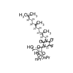 CCCC1(CCC)OC2[C@@H](O1)[C@@H](CO)O[C@H]2n1cc(F)c(=O)n(C/C=C(\C)CC/C=C(\C)CCC=C(C)C)c1=O